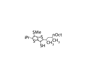 CCCCCCCCC(C)CC(C)c1sc2c(SC)c(C(C)C)sc2c1S